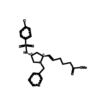 COC(=O)CCCC=C[C@@H]1C[C@@H](NS(=O)(=O)c2ccc(Cl)cc2)CN1Cc1cccnc1